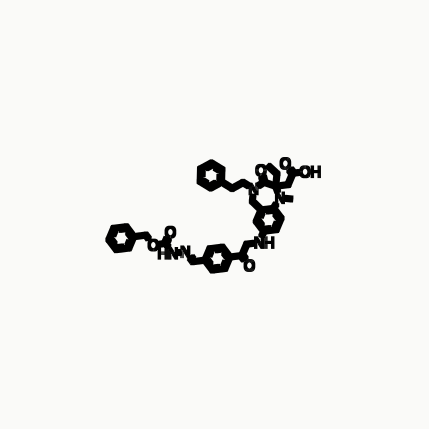 CCC1(CC(=O)O)C(=O)N(CCc2ccccc2)Cc2cc(NCC(=O)c3ccc(C=NNC(=O)OCc4ccccc4)cc3)ccc2N1C